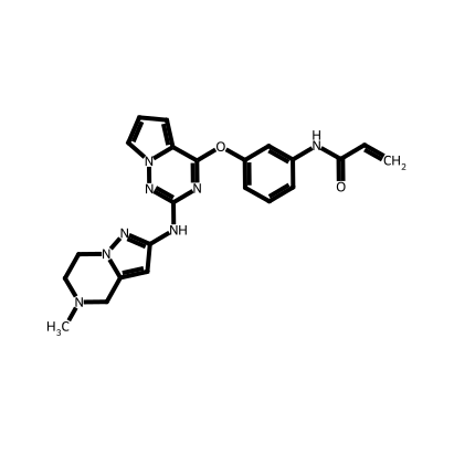 C=CC(=O)Nc1cccc(Oc2nc(Nc3cc4n(n3)CCN(C)C4)nn3cccc23)c1